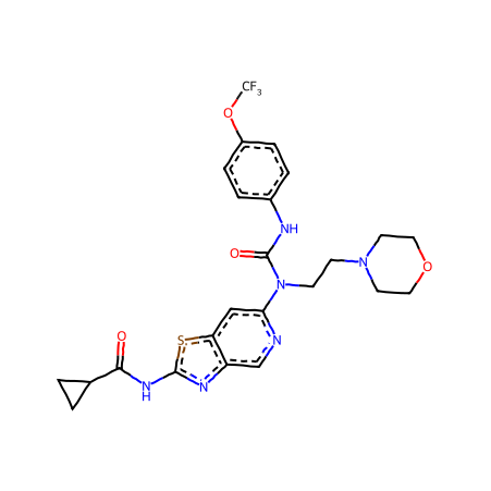 O=C(Nc1nc2cnc(N(CCN3CCOCC3)C(=O)Nc3ccc(OC(F)(F)F)cc3)cc2s1)C1CC1